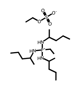 CCCC(C)N[P+](CC)(NC(C)CCC)NC(C)CCC.CCOS(=O)(=O)[O-]